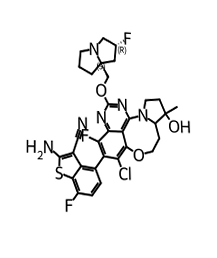 CC1(O)CCN2c3nc(OC[C@@]45CCCN4C[C@H](F)C5)nc4c(F)c(-c5ccc(F)c6sc(N)c(C#N)c56)c(Cl)c(c34)OCCC21